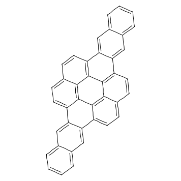 c1ccc2cc3c(cc2c1)c1ccc2ccc4c5cc6ccccc6cc5c5ccc6ccc3c3c6c5c4c2c13